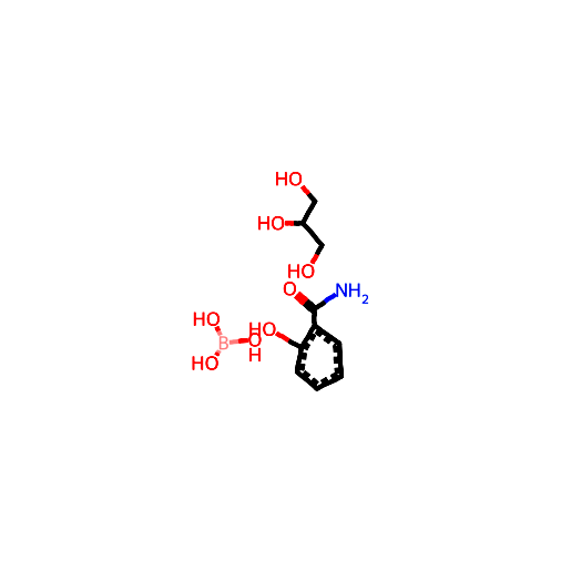 NC(=O)c1ccccc1O.OB(O)O.OCC(O)CO